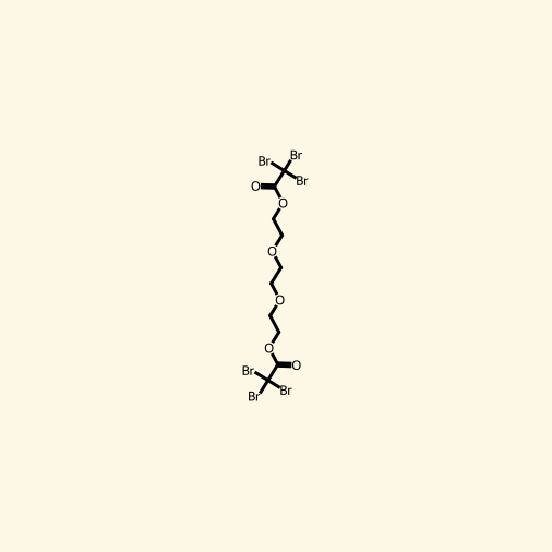 O=C(OCCOCCOCCOC(=O)C(Br)(Br)Br)C(Br)(Br)Br